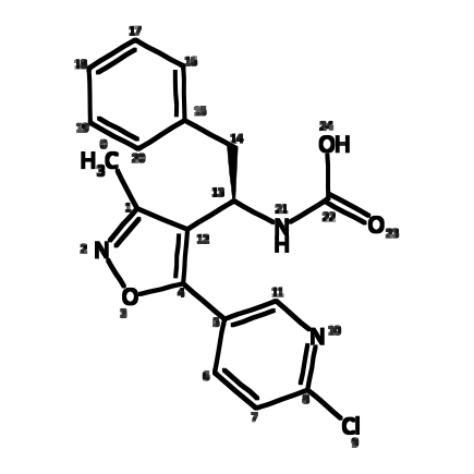 Cc1noc(-c2ccc(Cl)nc2)c1[C@@H](Cc1ccccc1)NC(=O)O